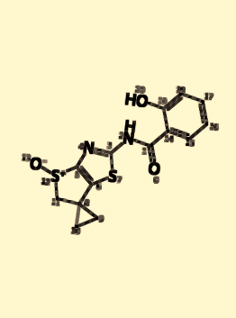 O=C(Nc1nc2c(s1)C1(CC1)C[S+]2[O-])c1ccccc1O